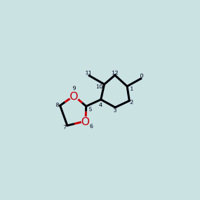 CC1CCC(C2OCCO2)C(C)C1